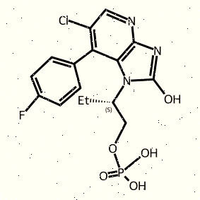 CC[C@@H](COP(=O)(O)O)n1c(O)nc2ncc(Cl)c(-c3ccc(F)cc3)c21